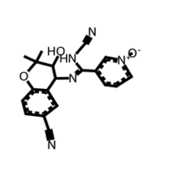 CC1(C)Oc2ccc(C#N)cc2C(N=C(NC#N)c2ccc[n+]([O-])c2)C1O